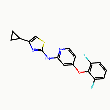 Fc1cccc(F)c1Oc1ccnc(Nc2nc(C3CC3)cs2)c1